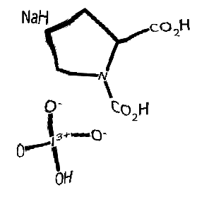 O=C(O)C1CCCN1C(=O)O.[NaH].[O-][I+3]([O-])([O-])O